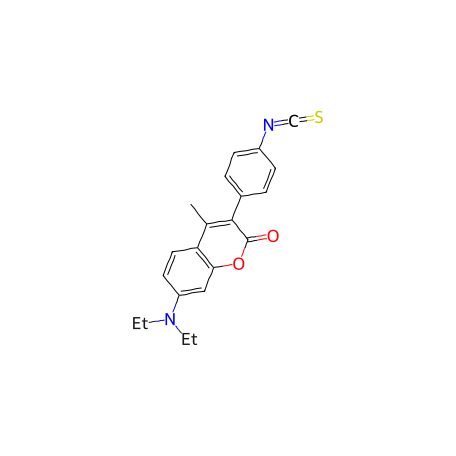 CCN(CC)c1ccc2c(C)c(-c3ccc(N=C=S)cc3)c(=O)oc2c1